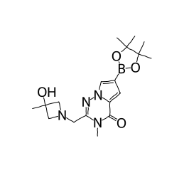 Cn1c(CN2CC(C)(O)C2)nn2cc(B3OC(C)(C)C(C)(C)O3)cc2c1=O